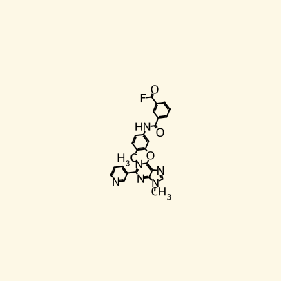 Cc1ccc(NC(=O)c2cccc(C(=O)F)c2)cc1Oc1nc(-c2cccnc2)nc2c1ncn2C